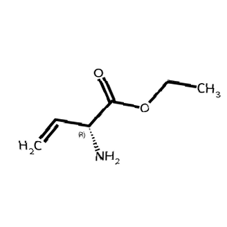 C=C[C@@H](N)C(=O)OCC